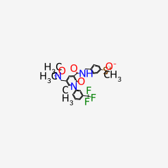 CON(C)Cc1cc(C(=O)NCc2ccc([S+](C)[O-])cc2)c(=O)n(-c2cccc(C(F)(F)F)c2)c1C